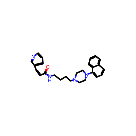 O=C(/C=C\c1cccnc1)NCCCCN1CCN(c2cccc3ccccc23)CC1